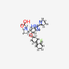 O=C(O)CN1CCCC1c1cc2[nH]c(-c3ccccn3)nc2cc1Oc1ccc(-c2ccccc2F)cc1